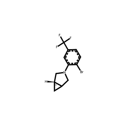 FC(F)(F)c1ccc(Br)c(N2CC3C[C@@H]3C2)c1